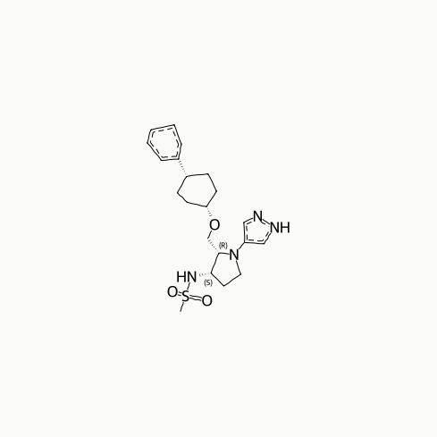 CS(=O)(=O)N[C@H]1CCN(c2cn[nH]c2)[C@H]1CO[C@H]1CC[C@@H](c2ccccc2)CC1